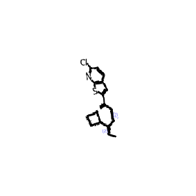 C=C(/C=C\C(=C/C)C1CCC1)c1cc2ccc(Cl)nc2s1